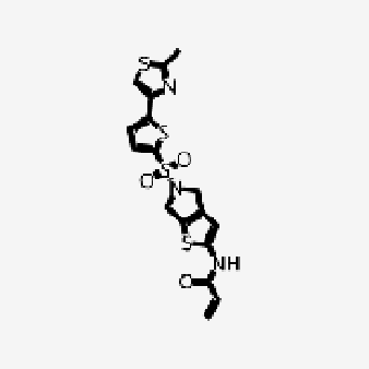 C=CC(=O)Nc1cc2c(s1)CN(S(=O)(=O)c1ccc(-c3csc(C)n3)s1)C2